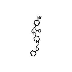 O=c1n(-c2ccc(Br)cc2)cnn1C1CCN(CCOc2ccccc2)CC1